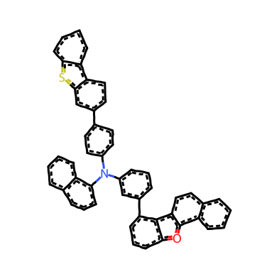 c1cc(-c2cccc3oc4c5ccccc5ccc4c23)cc(N(c2ccc(-c3ccc4c(c3)sc3ccccc34)cc2)c2cccc3ccccc23)c1